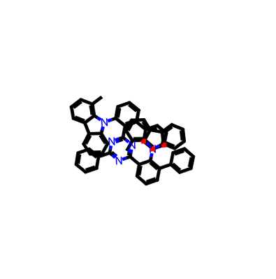 Cc1cccc2c3ccccc3n(-c3cccc(-c4ccccc4)c3-c3nc(-c4ccccc4)nc(-c4cccc(-c5ccccc5)c4-n4c5ccccc5c5cccc(C)c54)n3)c12